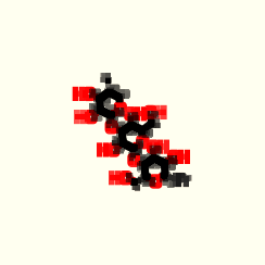 CC(C)[C@@H]1O[C@H](CO)[C@H](O[C@H]2O[C@H](CO)[C@@H](O)[C@H](O[C@@H]3OC[C@@H](C)[C@H](O)[C@H]3O)[C@H]2O)[C@H](O)[C@H]1O